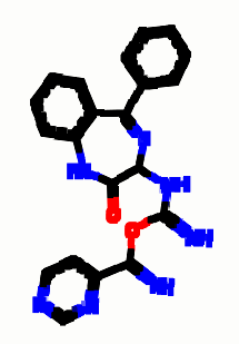 N=C(NC1N=C(c2ccccc2)c2ccccc2NC1=O)OC(=N)c1ccncn1